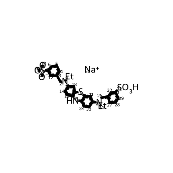 CCN(Cc1cccc(S(=O)(=O)[O-])c1)c1ccc2c(c1)Sc1cc(N(CC)Cc3cccc(S(=O)(=O)O)c3)ccc1N2.[Na+]